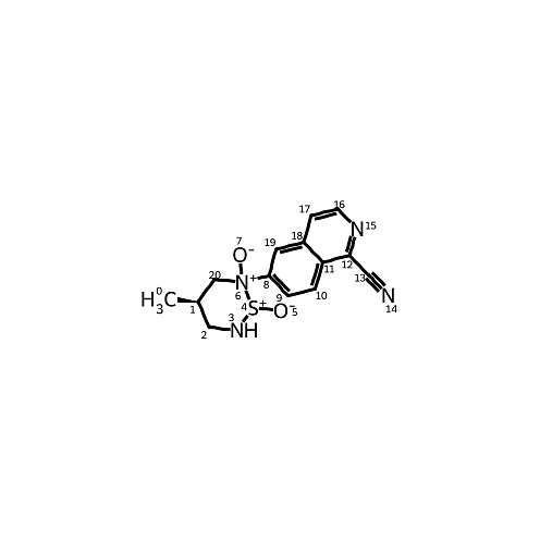 C[C@@H]1CN[S+]([O-])[N+]([O-])(c2ccc3c(C#N)nccc3c2)C1